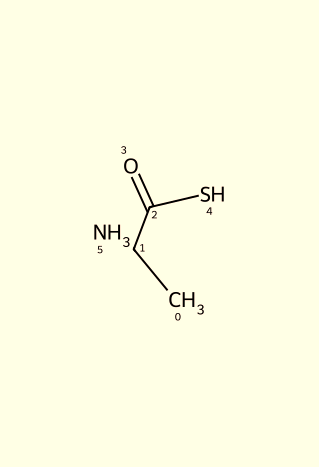 CCC(=O)S.N